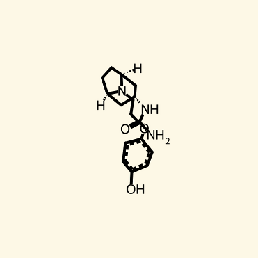 NC(=O)N[C@@H]1C[C@H]2CC[C@@H](C1)N2CCOc1ccc(O)cc1